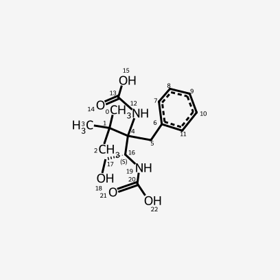 CC(C)(C)C(Cc1ccccc1)(NC(=O)O)[C@@H](CO)NC(=O)O